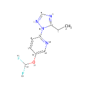 CCc1ncnn1-c1ccc(OC(F)F)cn1